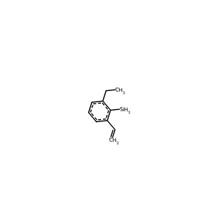 C=Cc1cccc(CC)c1[SiH3]